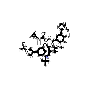 Cn1ncnc1-c1cc([C@@H](COC(=O)NC2CC2)N2C(=N)N[C@](/C=C/C(C)(C)C)(c3ccc(-c4cnn(C(F)F)c4)cc3)C2=O)ccc1Cl